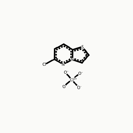 Clc1ccc2scc[n+]2n1.[O-][Cl+3]([O-])([O-])[O-]